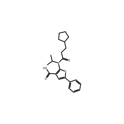 CC(C)N(C(=O)CCC1CCCC1)c1sc(-c2ccccc2)cc1C(=O)O